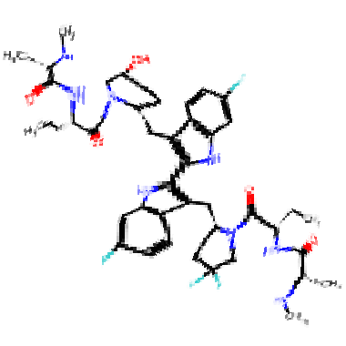 CC[C@H](NC(=O)[C@H](C)NC)C(=O)N1C[C@@H](O)C[C@H]1Cc1c(-c2[nH]c3cc(F)ccc3c2C[C@@H]2CC(F)(F)CN2C(=O)[C@H](CC)NC(=O)[C@H](C)NC)[nH]c2cc(F)ccc12